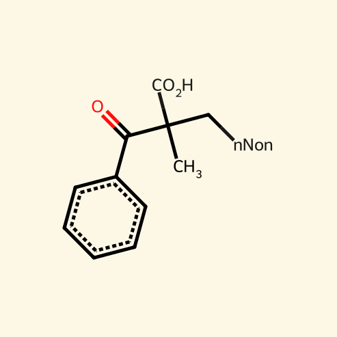 CCCCCCCCCCC(C)(C(=O)O)C(=O)c1ccccc1